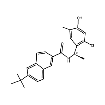 Cc1cc([C@@H](C)NC(=O)c2ccc3cc(C(C)(C)C)ccc3c2)c(Cl)cc1O